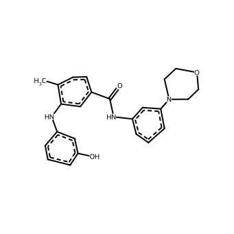 Cc1ccc(C(=O)Nc2cccc(N3CCOCC3)c2)cc1Nc1cccc(O)c1